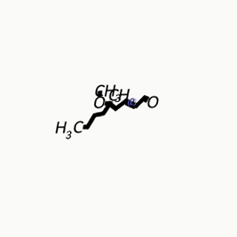 CCCCC(C)(C/C=C/C=O)OC